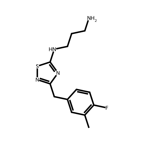 Cc1cc(Cc2nsc(NCCCN)n2)ccc1F